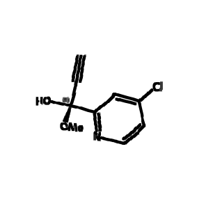 C#C[C@](O)(OC)c1cc(Cl)ccn1